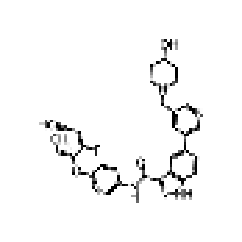 C#C/C=C(F)\C(=C/C)Oc1ccc(NC(=O)c2n[nH]c3ccc(-c4cncc(CN5CCC(O)CC5)c4)cc23)cn1